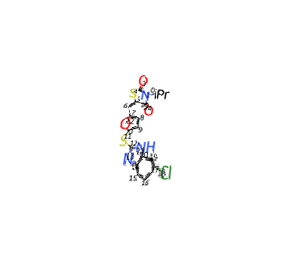 CC(C)N1C(=O)SC(=Cc2ccc(Sc3nc4ccc(Cl)cc4[nH]3)o2)C1=O